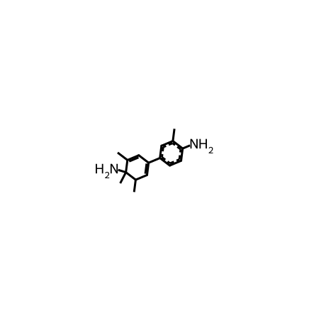 CC1=CC(c2ccc(N)c(C)c2)=CC(C)C1(C)N